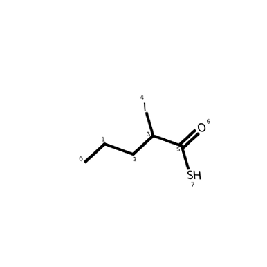 CCCC(I)C(=O)S